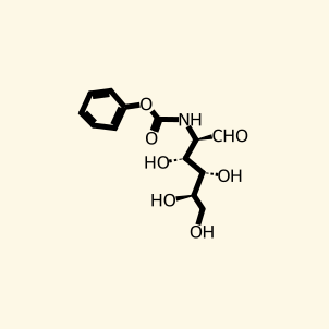 O=C[C@H](NC(=O)Oc1ccccc1)[C@@H](O)[C@H](O)[C@H](O)CO